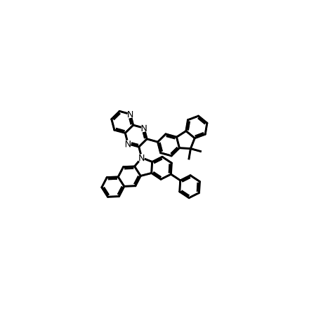 CC1(C)c2ccccc2-c2cc(-c3nc4ncccc4nc3-n3c4ccc(-c5ccccc5)cc4c4cc5ccccc5cc43)ccc21